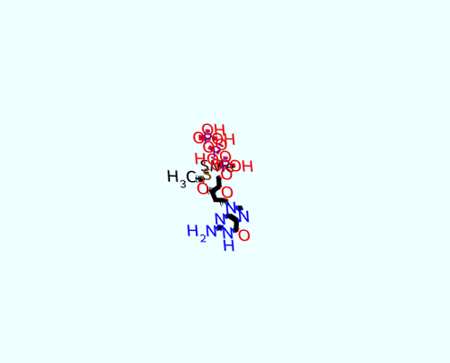 CSS[C@@H](C)O[C@@H]1C[C@H](n2cnc3c(=O)[nH]c(N)nc32)OC1COP(=O)(O)OP(=O)(O)OP(=O)(O)O